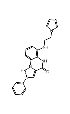 O=C1Nc2c(NCCn3ccnc3)cccc2N2NN(c3ccccc3)C=C12